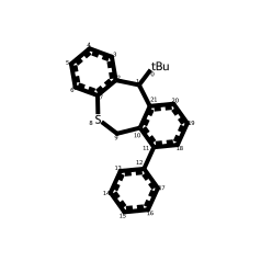 CC(C)(C)C1c2ccccc2SCc2c(-c3ccccc3)cccc21